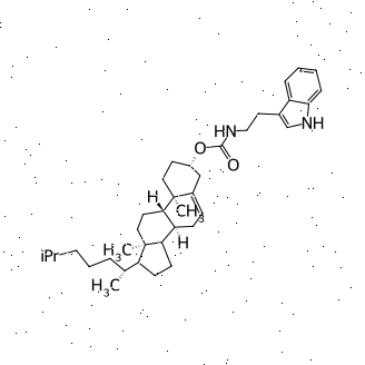 CC(C)CCC[C@@H](C)C1CCC2[C@@H]3CC=C4C[C@@H](OC(=O)NCCc5c[nH]c6ccccc56)CC[C@]4(C)[C@H]3CC[C@]12C